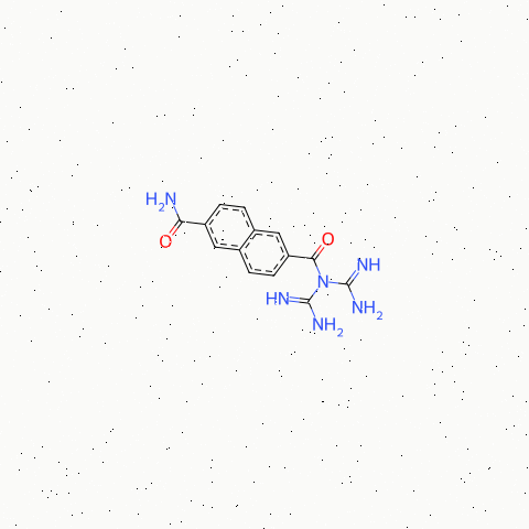 N=C(N)N(C(=N)N)C(=O)c1ccc2cc(C(N)=O)ccc2c1